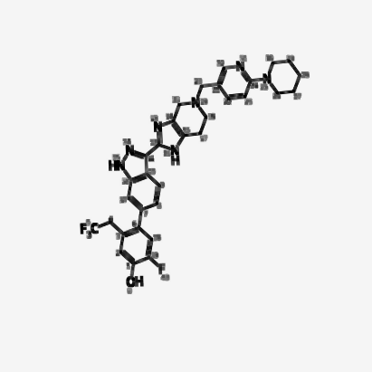 Oc1cc(CC(F)(F)F)c(-c2ccc3c(-c4nc5c([nH]4)CCN(Cc4ccc(N6CCCCC6)nc4)C5)n[nH]c3c2)cc1F